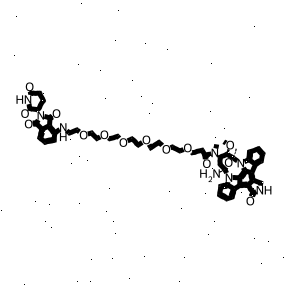 CO[C@@H]1[C@H](N(C)C(=O)CCOCCOCCOCCOCCOCCOCCNc2cccc3c2C(=O)N(C2CCC(=O)NC2=O)C3=O)C[C@@]2(N)O[C@]1(C)n1c3ccccc3c3c4c(c5c6ccccc6n2c5c31)C(=O)NC4